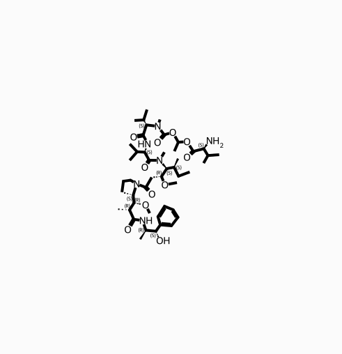 CC[C@H](C)[C@@H]([C@@H](CC(=O)N1CCC[C@H]1[C@H](OC)[C@@H](C)C(=O)N[C@H](C)[C@@H](O)c1ccccc1)OC)N(C)C(=O)[C@@H](NC(=O)[C@H](C(C)C)N(C)C(=O)OC(C)OC(=O)[C@@H](N)C(C)C)C(C)C